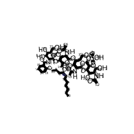 CCCCCC/C=C\CCCOc1ccccc1C(=O)NC1[C@H](O[C@@H]2C(CO)O[C@@H](O[C@@H]3C(CO)O[C@@H](O[C@@H]4C(COS(=O)(=O)O)OC(O)C(NC(C)=O)C4O)C(NC(C)=O)[C@H]3O)C(NC(C)=O)C2O)OC(CO)[C@@H](O)[C@@H]1O